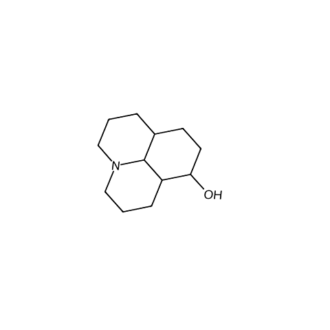 OC1CCC2CCCN3CCCC1C23